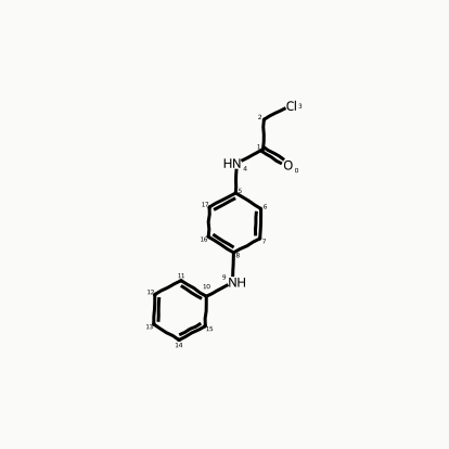 O=C(CCl)Nc1ccc(Nc2ccccc2)cc1